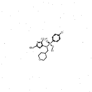 CCOP(=O)(c1ccc(Cl)cc1)N(CC1CCOCC1)c1cc(C(C)(C)C)sc1C(=O)O